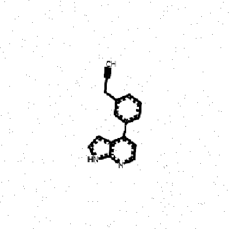 C#CCc1cccc(-c2ccnc3[nH]ccc23)c1